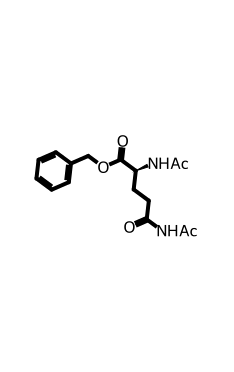 CC(=O)NC(=O)CC[C@H](NC(C)=O)C(=O)OCc1ccccc1